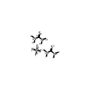 CN(C)C(=S)N(C)C.CN(C)C(=S)N(C)C.F[B-](F)(F)F